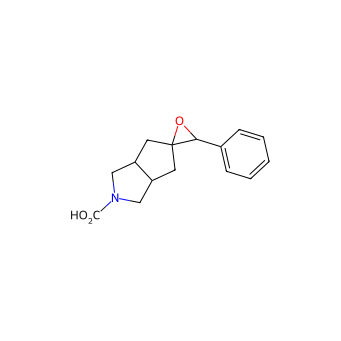 O=C(O)N1CC2CC3(CC2C1)OC3c1ccccc1